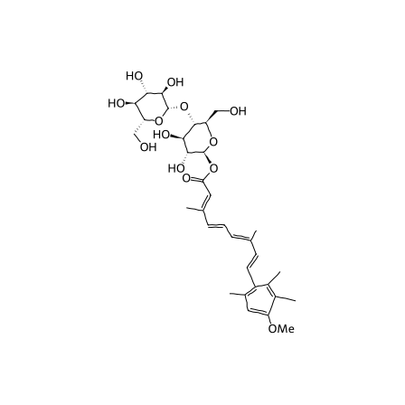 COc1cc(C)c(C=CC(C)=CC=CC(C)=CC(=O)O[C@@H]2O[C@H](CO)[C@@H](O[C@@H]3O[C@H](CO)[C@@H](O)[C@H](O)[C@H]3O)[C@H](O)[C@H]2O)c(C)c1C